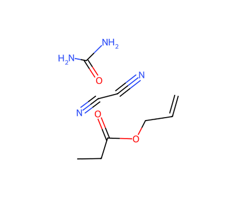 C=CCOC(=O)CC.N#CC#N.NC(N)=O